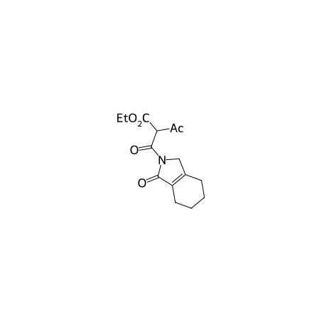 CCOC(=O)C(C(C)=O)C(=O)N1CC2=C(CCCC2)C1=O